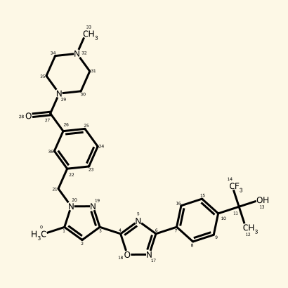 Cc1cc(-c2nc(-c3ccc(C(C)(O)C(F)(F)F)cc3)no2)nn1Cc1cccc(C(=O)N2CCN(C)CC2)c1